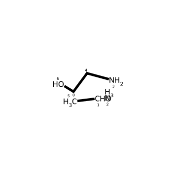 CC=O.N.NCCO